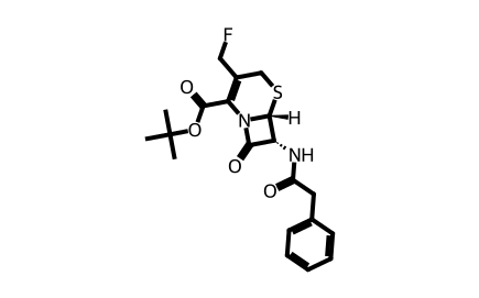 CC(C)(C)OC(=O)C1=C(CF)CS[C@@H]2[C@H](NC(=O)Cc3ccccc3)C(=O)N12